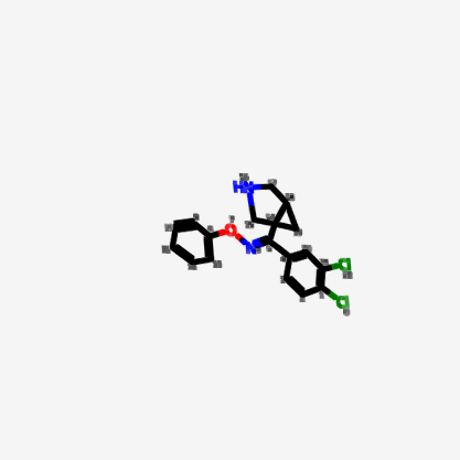 Clc1ccc(C(=NOc2c#cccc2)C23CNCC2C3)cc1Cl